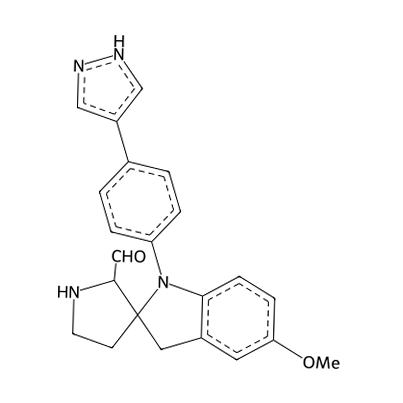 COc1ccc2c(c1)CC1(CCNC1C=O)N2c1ccc(-c2cn[nH]c2)cc1